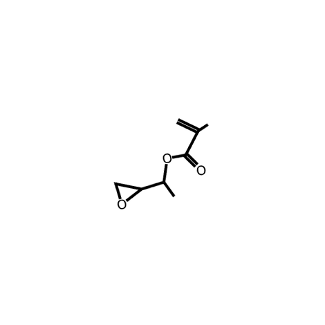 C=C(C)C(=O)OC(C)C1CO1